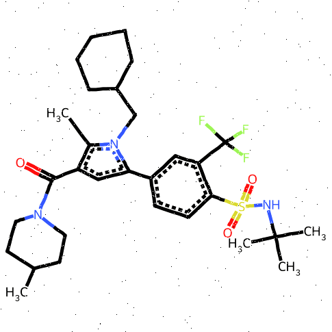 Cc1c(C(=O)N2CCC(C)CC2)cc(-c2ccc(S(=O)(=O)NC(C)(C)C)c(C(F)(F)F)c2)n1CC1CCCCC1